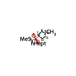 CCCCCCCC(SC)S(=O)(=O)c1ccc(C)cc1